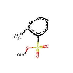 Cc1ccccc1S(=O)(=O)OC=O